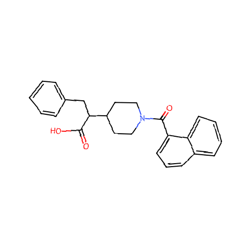 O=C(O)C(Cc1ccccc1)C1CCN(C(=O)c2cccc3ccccc23)CC1